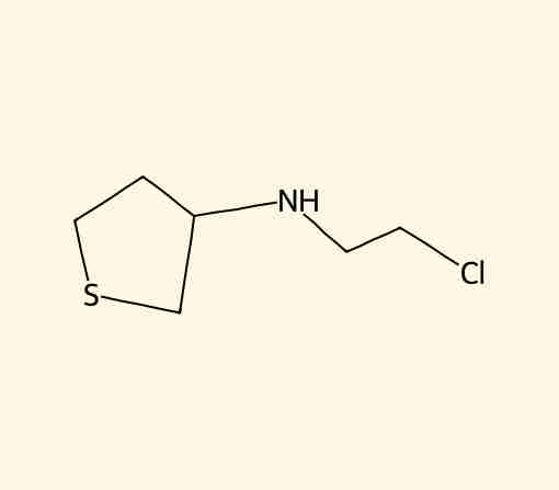 ClCCNC1CCSC1